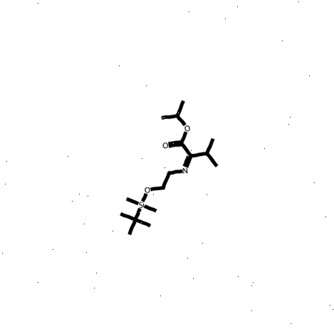 CC(C)OC(=O)/C(=N\CCO[Si](C)(C)C(C)(C)C)C(C)C